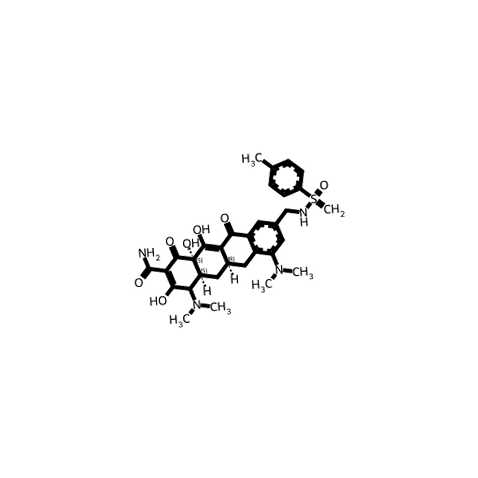 C=S(=O)(NCc1cc2c(c(N(C)C)c1)C[C@H]1C[C@H]3C(N(C)C)C(O)=C(C(N)=O)C(=O)[C@@]3(O)C(O)=C1C2=O)c1ccc(C)cc1